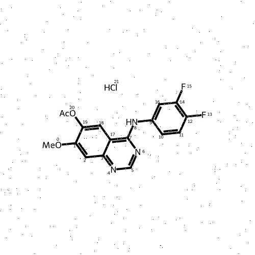 COc1cc2ncnc(Nc3ccc(F)c(F)c3)c2cc1OC(C)=O.Cl